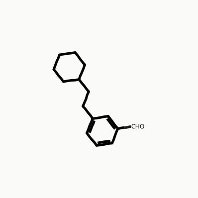 O=Cc1cccc(CCC2CCCCC2)c1